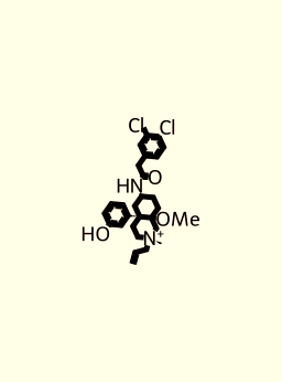 C=CC[N@@+]1(C)CC[C@@]2(c3cccc(O)c3)C[C@H](NC(=O)Cc3ccc(Cl)c(Cl)c3)CCC2(OC)C1